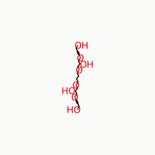 OCC#COCC(O)COCCCCOCC(O)COC#CCO